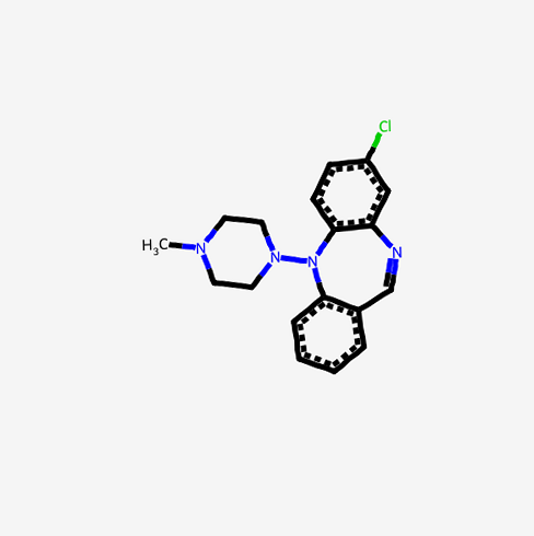 CN1CCN(N2c3ccccc3C=Nc3cc(Cl)ccc32)CC1